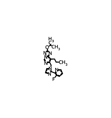 CCCc1c(Cn2ccnc2-c2ncccc2F)ncn2nc(OC(C)C)nc12